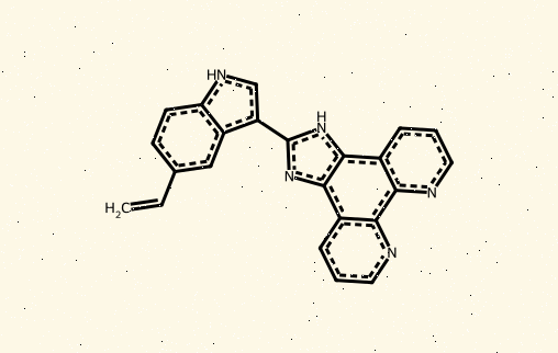 C=Cc1ccc2[nH]cc(-c3nc4c5cccnc5c5ncccc5c4[nH]3)c2c1